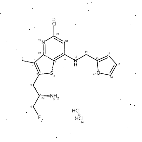 Cc1c(C[C@H](N)CF)sc2c(NCc3ccco3)cc(Cl)nc12.Cl.Cl